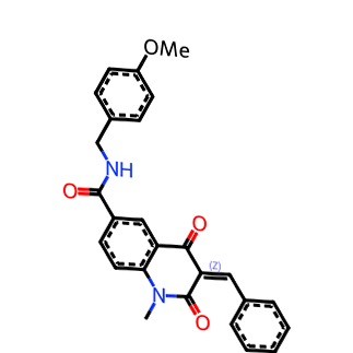 COc1ccc(CNC(=O)c2ccc3c(c2)C(=O)/C(=C/c2ccccc2)C(=O)N3C)cc1